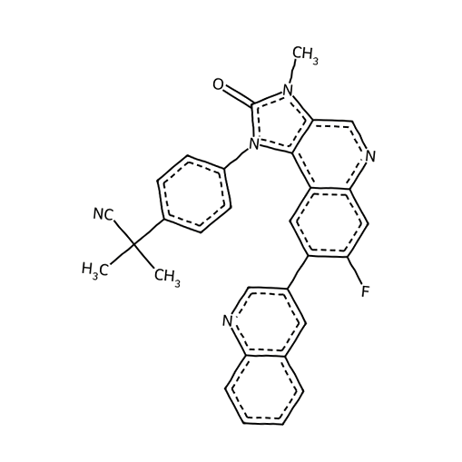 Cn1c(=O)n(-c2ccc(C(C)(C)C#N)cc2)c2c3cc(-c4cnc5ccccc5c4)c(F)cc3ncc21